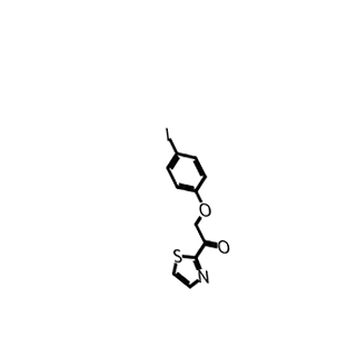 O=C(COc1ccc(I)cc1)c1nccs1